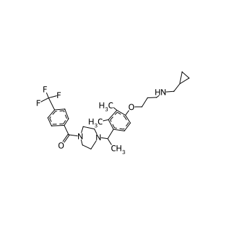 Cc1c(OCCCNCC2CC2)ccc(C(C)N2CCN(C(=O)c3ccc(C(F)(F)F)cc3)CC2)c1C